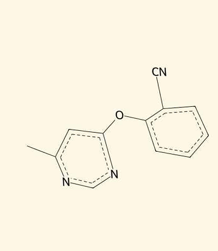 Cc1cc(Oc2ccccc2C#N)ncn1